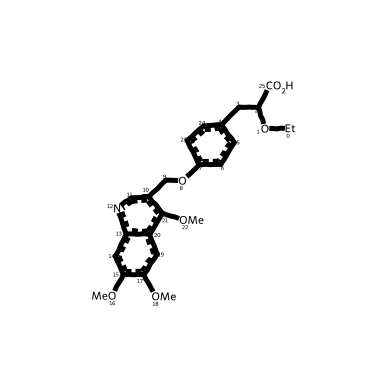 CCOC(Cc1ccc(OCc2cnc3cc(OC)c(OC)cc3c2OC)cc1)C(=O)O